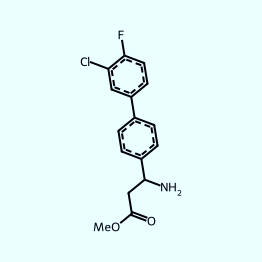 COC(=O)CC(N)c1ccc(-c2ccc(F)c(Cl)c2)cc1